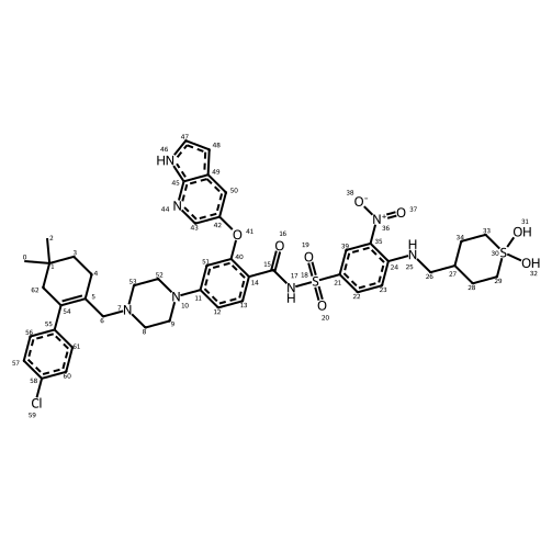 CC1(C)CCC(CN2CCN(c3ccc(C(=O)NS(=O)(=O)c4ccc(NCC5CCS(O)(O)CC5)c([N+](=O)[O-])c4)c(Oc4cnc5[nH]ccc5c4)c3)CC2)=C(c2ccc(Cl)cc2)C1